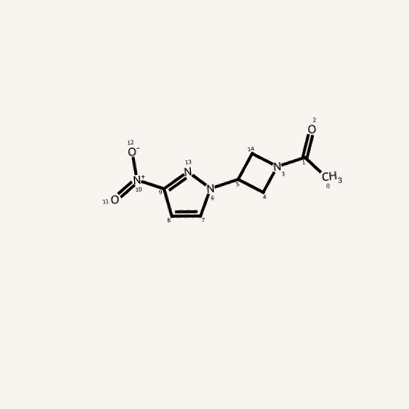 CC(=O)N1CC(n2ccc([N+](=O)[O-])n2)C1